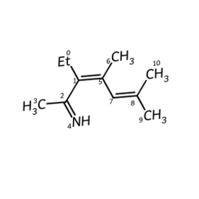 CC/C(C(C)=N)=C(\C)C=C(C)C